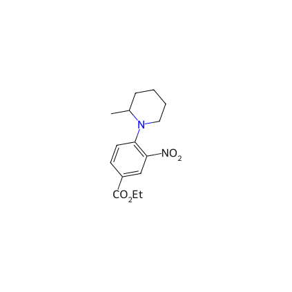 CCOC(=O)c1ccc(N2CCCCC2C)c([N+](=O)[O-])c1